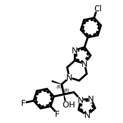 C[C@@H](N1CCn2cc(-c3ccc(Cl)cc3)nc2C1)[C@](O)(Cn1cncn1)c1ccc(F)cc1F